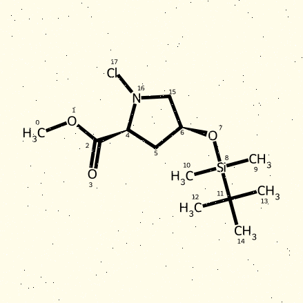 COC(=O)[C@@H]1C[C@H](O[Si](C)(C)C(C)(C)C)CN1Cl